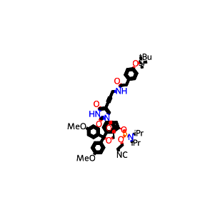 [C-]#[N+]CCOP(O[C@@H]1C[C@H](n2cc(C#CCNC(=O)Cc3ccc(O[Si](C)(C)C(C)(C)C)cc3)c(=O)[nH]c2=O)O[C@@H]1COC(c1ccccc1)(c1ccc(OC)cc1)c1ccc(OC)cc1)N(C(C)C)C(C)C